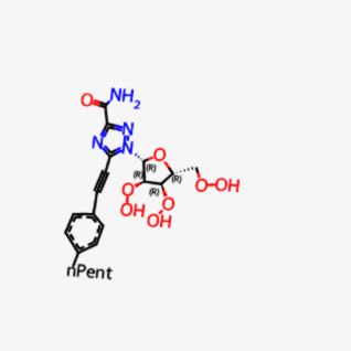 CCCCCc1ccc(C#Cc2nc(C(N)=O)nn2[C@@H]2O[C@H](COO)[C@@H](OO)[C@H]2OO)cc1